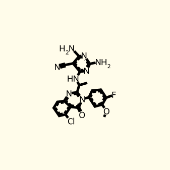 COc1cc(-n2c(C(C)Nc3nc(N)nc(N)c3C#N)nc3cccc(Cl)c3c2=O)ccc1F